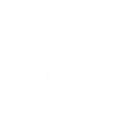 CCCCOc1[c]nccc1